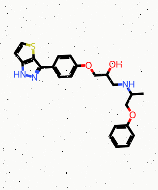 CC(COc1ccccc1)NCC(O)COc1ccc(-c2n[nH]c3ccsc23)cc1